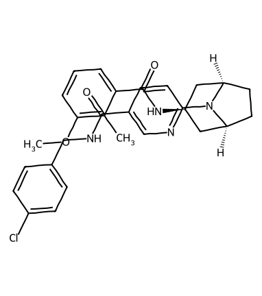 COc1cccc(C(=O)N[C@H]2C[C@H]3CC[C@@H](C2)N3c2ccc(C(=O)NCc3ccc(Cl)cc3)cn2)c1C